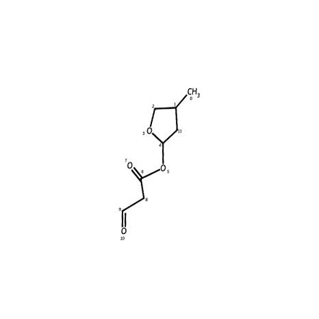 CC1COC(OC(=O)CC=O)C1